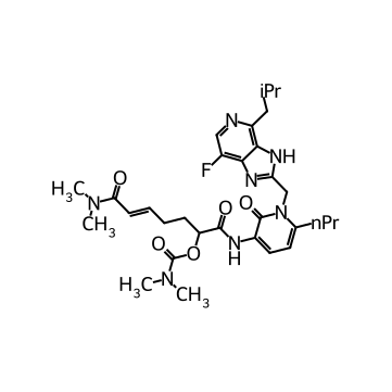 CCCc1ccc(NC(=O)C(CC/C=C/C(=O)N(C)C)OC(=O)N(C)C)c(=O)n1Cc1nc2c(F)cnc(CC(C)C)c2[nH]1